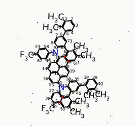 Cc1cccc(-c2ccc(N(C3=C4C=CC5=C6C(=CC=C(C=C3)C46)C(N(c3ccc(C(F)(F)F)cc3)c3ccc(-c4cccc(C)c4C)cc3-c3cccc(C)c3C)C=C5)c3ccc(C(F)(F)F)cc3)c(-c3cccc(C)c3C)c2)c1C